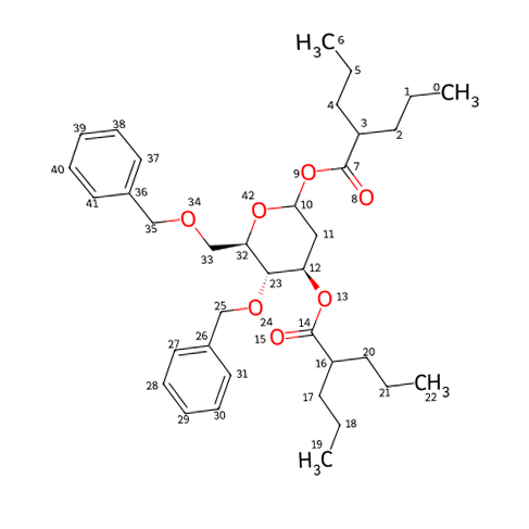 CCCC(CCC)C(=O)OC1C[C@@H](OC(=O)C(CCC)CCC)[C@H](OCc2ccccc2)[C@@H](COCc2ccccc2)O1